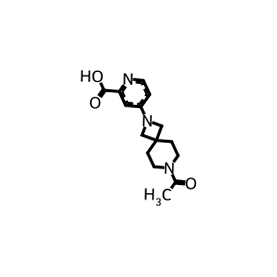 CC(=O)N1CCC2(CC1)CN(c1ccnc(C(=O)O)c1)C2